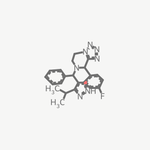 CC(C)c1n[nH]cc1C(c1ccccc1)N1CCn2nnnc2C1c1ccc(F)cc1